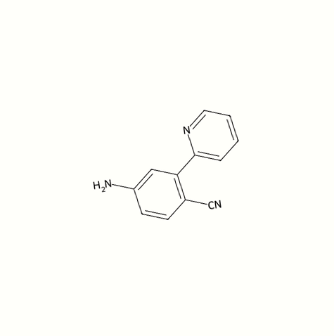 N#Cc1ccc(N)cc1-c1ccccn1